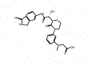 CN(CC(=O)O)c1cccc(N2CCO[C@H]([C@@H](O)C(=O)Nc3ccc4c(c3)CNC4=N)C2=O)c1